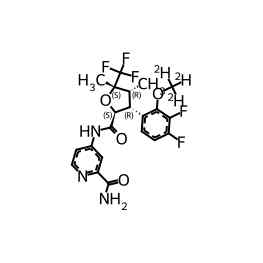 [2H]C([2H])([2H])Oc1c([C@@H]2[C@@H](C(=O)Nc3ccnc(C(N)=O)c3)O[C@](C)(C(F)(F)F)[C@@H]2C)ccc(F)c1F